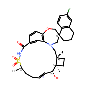 CC[C@@H]1CC/C=C/[C@@H](O)[C@]2(C)CC[C@H]2CN2C[C@@]3(CCCc4cc(Cl)ccc43)COc3ccc(cc32)C(=O)NS1(=O)=O